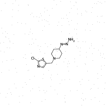 NN=NC1CCN(Cc2cnc(Cl)s2)CC1